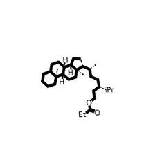 CCC(=O)OCC[C@H](CC[C@@H](C)[C@H]1CC[C@H]2[C@@H]3CCC4CCCC[C@]4(C)[C@H]3CC[C@]12C)C(C)C